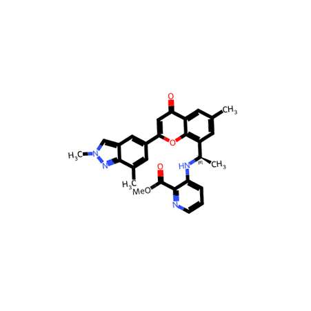 COC(=O)c1ncccc1N[C@H](C)c1cc(C)cc2c(=O)cc(-c3cc(C)c4nn(C)cc4c3)oc12